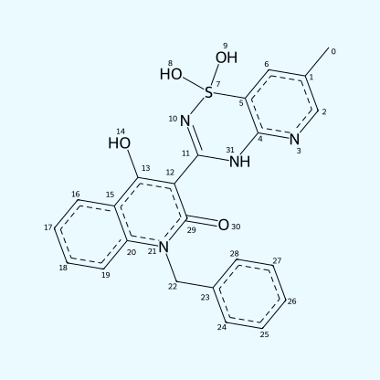 Cc1cnc2c(c1)S(O)(O)N=C(c1c(O)c3ccccc3n(Cc3ccccc3)c1=O)N2